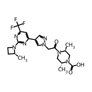 C[C@@H]1CN(C(=O)Cn2cc(-c3cc(C(F)(F)F)nc(N4CC[C@@H]4C)n3)cn2)[C@@H](C)CN1C(=O)O